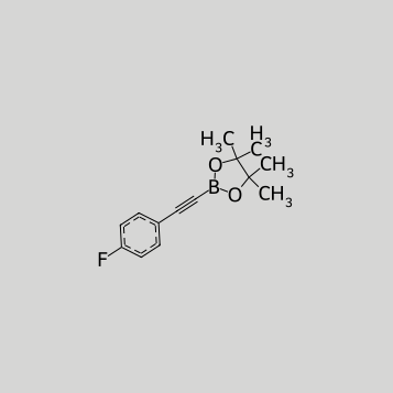 CC1(C)OB(C#Cc2ccc(F)cc2)OC1(C)C